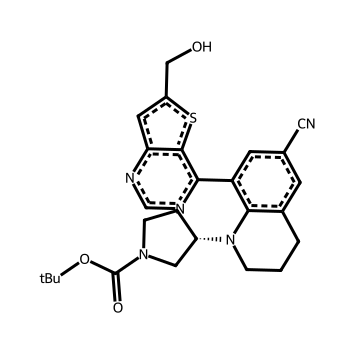 CC(C)(C)OC(=O)N1CC[C@H](N2CCCc3cc(C#N)cc(-c4ncnc5cc(CO)sc45)c32)C1